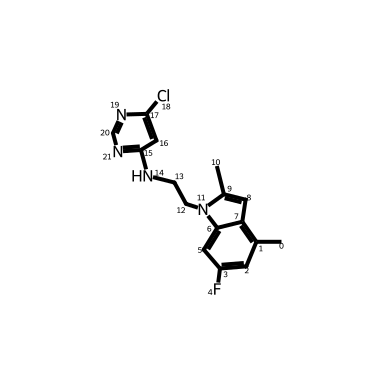 Cc1cc(F)cc2c1cc(C)n2CCNc1cc(Cl)ncn1